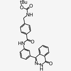 CC(C)(C)OC(=O)NCc1ccc(C(=O)Nc2cccc(-c3n[nH]c(=O)c4ccccc34)c2)cc1